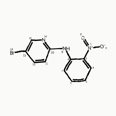 O=[N+]([O-])c1ccccc1Nc1ccc(Br)cn1